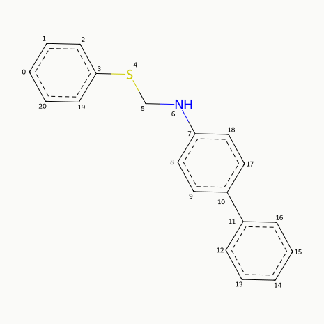 c1ccc(SCNc2ccc(-c3ccccc3)cc2)cc1